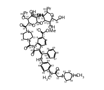 COC(=O)c1ccc2c(c1)N(C(=O)N1CCN(C(=O)C3OC(OC4C(O)C(CO)OC(C(C)C)C4NC(C)=O)C(O)C(O)C3OC(C)C)CC1)C(=O)/C2=C(\Nc1ccc(N(C)C(=O)CN2CCN(C)CC2)cc1)c1ccccc1